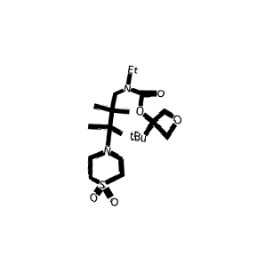 CCN(CC(C)(C)C(C)(C)N1CCS(=O)(=O)CC1)C(=O)OC1(C(C)(C)C)COC1